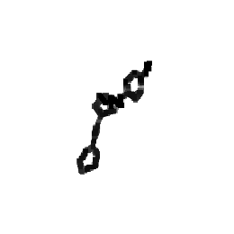 Fc1ccc(-n2cc(C#Cc3ccccc3)cn2)cc1